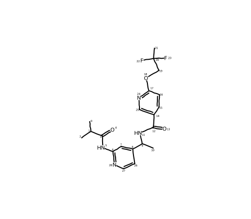 CC(C)C(=O)Nc1cc(C(C)NC(=O)c2ccc(OCC(C)(F)F)nc2)ccn1